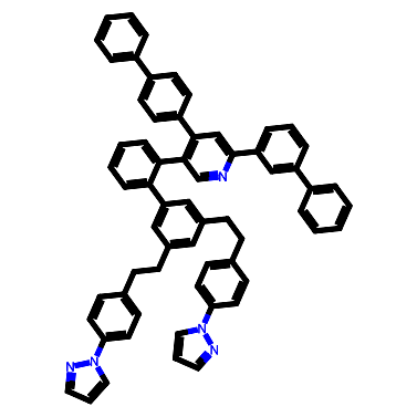 c1ccc(-c2ccc(-c3cc(-c4cccc(-c5ccccc5)c4)ncc3-c3ccccc3-c3cc(CCc4ccc(-n5cccn5)cc4)cc(CCc4ccc(-n5cccn5)cc4)c3)cc2)cc1